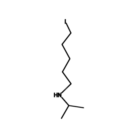 CC(C)NCCCCCI